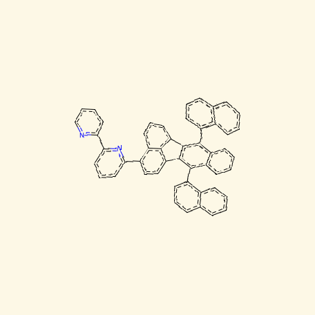 c1ccc(-c2cccc(-c3ccc4c5c(cccc35)-c3c-4c(-c4cccc5ccccc45)c4ccccc4c3-c3cccc4ccccc34)n2)nc1